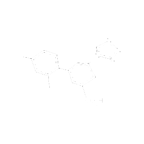 Cc1ccc(-c2cc(C(=O)O)cc(-n3cnnn3)c2)c(C)c1